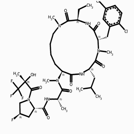 CC[C@H]1NC(=O)[C@H](Cc2cc(Cl)ccc2Cl)N(C)C(=O)[C@H](CC(C)C)NC(=O)[C@@H](N(C)C(=O)[C@H](C)NC(=O)[C@@H]2C[C@@H](F)CN2C(=O)[C@@](C)(O)C(F)(F)F)CCCCN(C)C1=O